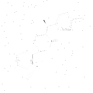 Cc1ccc([C@H](C)N2CC[C@](CC(C)(C)C#N)(c3ccc(F)cc3)OC2=O)cc1